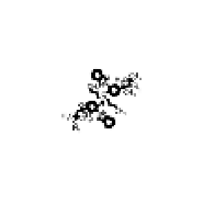 CCC[CH2][Sn]([CH2]CCC)([O]c1ccc(C(C)(C)CC(C)(C)C)cc1-n1nc2ccccc2n1)[O]c1ccc(C(C)(C)CC(C)(C)C)cc1-n1nc2ccccc2n1